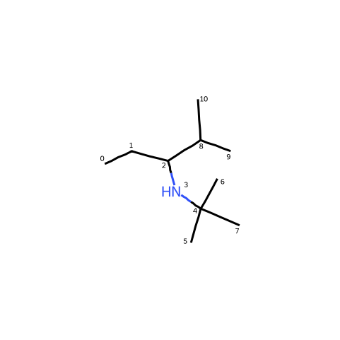 CCC(NC(C)(C)C)C(C)C